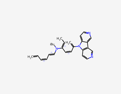 C=C/C=C\C=C\N(C(/C=C\C(=C)n1c2ccncc2c2cnccc21)=C\C)C(C)CC